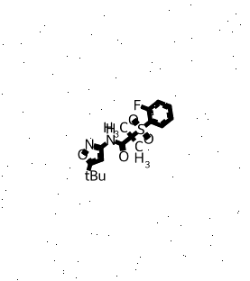 CC(C)(C)c1cc(NC(=O)C(C)(C)S(=O)(=O)c2ccccc2F)no1